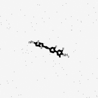 CCCc1cc2sc(C#Cc3ccc(-c4cc(C)c(N)c(F)c4)c(F)c3)cc2s1